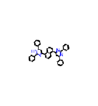 C1=C(c2cccc3c(-c4cc(-c5ccccc5)nc(-c5ccccc5)n4)cccc23)N=C(c2ccccc2)NC1c1ccccc1